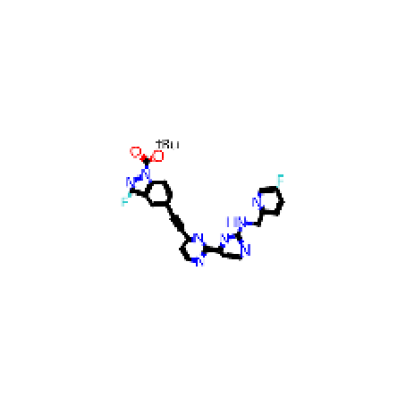 CC(C)(C)OC(=O)n1nc(F)c2cc(C#Cc3ccnc(-c4ccnc(NCc5ccc(F)cn5)n4)n3)ccc21